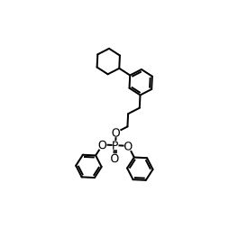 O=P(OCCCc1cccc(C2CCCCC2)c1)(Oc1ccccc1)Oc1ccccc1